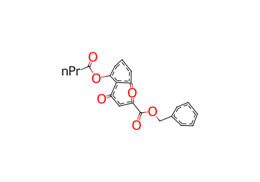 CCCC(=O)Oc1cccc2oc(C(=O)OCc3ccccc3)cc(=O)c12